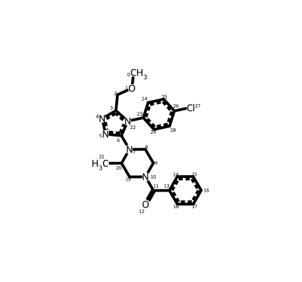 COCc1nnc(N2CCN(C(=O)c3ccccc3)CC2C)n1-c1ccc(Cl)cc1